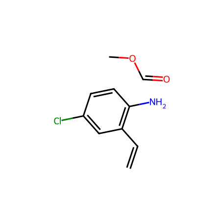 C=Cc1cc(Cl)ccc1N.COC=O